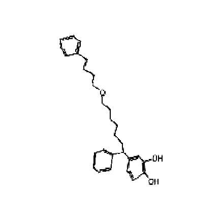 Oc1ccc(C(CCCCCCOCCCCc2ccccc2)c2ccccc2)cc1O